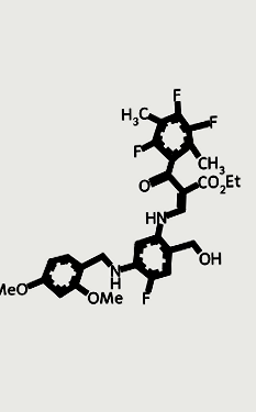 CCOC(=O)C(=CNc1cc(NCc2ccc(OC)cc2OC)c(F)cc1CO)C(=O)c1c(C)c(F)c(F)c(C)c1F